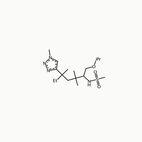 CCC(C)(CC(C)(C)C(COC(C)C)NS(C)(=O)=O)c1cn(C)nn1